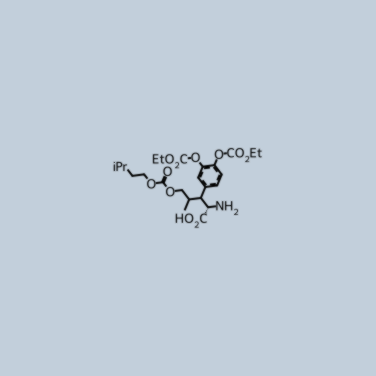 CCOC(=O)Oc1ccc(C(C(C)COC(=O)OCCC(C)C)[C@H](N)C(=O)O)cc1OC(=O)OCC